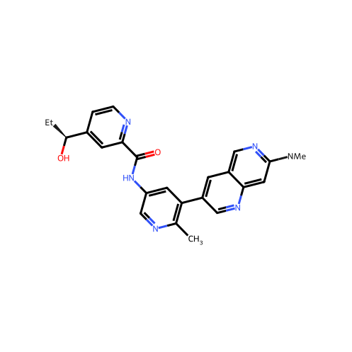 CC[C@H](O)c1ccnc(C(=O)Nc2cnc(C)c(-c3cnc4cc(NC)ncc4c3)c2)c1